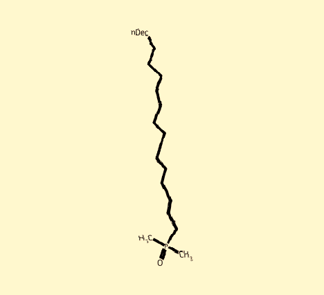 CCCCCCCCCCCCCCCCCCCCCCCP(C)(C)=O